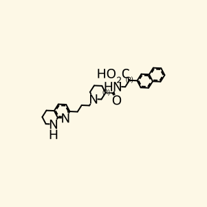 O=C(NC[C@H](C(=O)O)c1ccc2ccccc2c1)[C@@H]1CCCN(CCCc2ccc3c(n2)NCCC3)C1